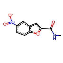 CNC(=O)c1cc2cc([N+](=O)[O-])ccc2o1